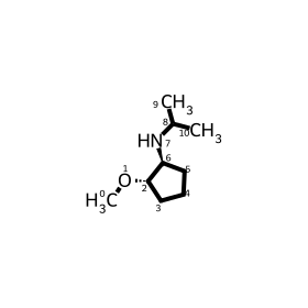 CO[C@H]1CCC[C@@H]1NC(C)C